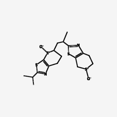 CC(C)c1nc2c(s1)[S+]([O-])C(CC(C)c1nc3c(s1)C[S+]([O-])CC3)CC2